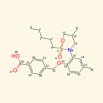 CCCCCS(=O)(=O)N(CC(C)C)c1cc(C)ccc1OCc1ccc(C(=O)O)cc1